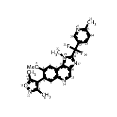 COc1cc2c(cc1-c1c(C)noc1C)ncc1nc(C(F)(F)c3ccc(C)nc3)n(C)c12